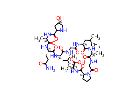 CC(C)C[C@H](NC(=O)CNC(=O)[C@H](CC(C)C)NC(=O)[C@H](CCC(N)=O)NC(=O)[C@H](C)NC(=O)C1C[C@H](O)CN1)C(=O)N[C@@H](C)C(=O)NCC(=O)N1CCC[C@H]1C(=O)N[C@@H](C)C(=O)O